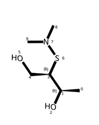 C[C@@H](O)[C@@H](CO)SN(C)C